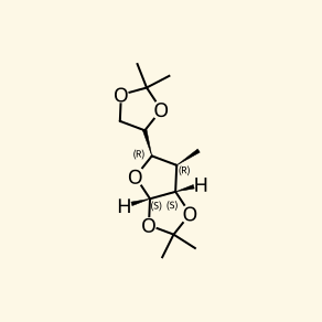 C[C@H]1[C@@H]2OC(C)(C)O[C@@H]2O[C@H]1C1COC(C)(C)O1